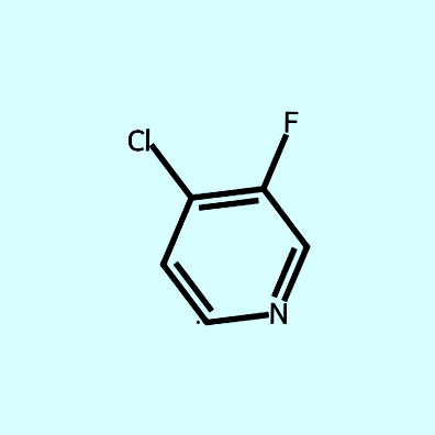 Fc1cn[c]cc1Cl